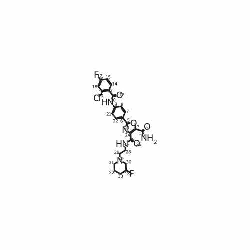 NC(=O)c1oc(-c2ccc(NC(=O)c3ccc(F)cc3Cl)cc2)nc1C(=O)NCCN1CCCC(F)C1